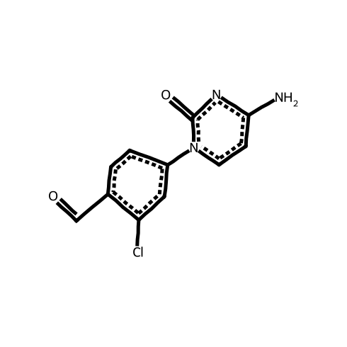 Nc1ccn(-c2ccc(C=O)c(Cl)c2)c(=O)n1